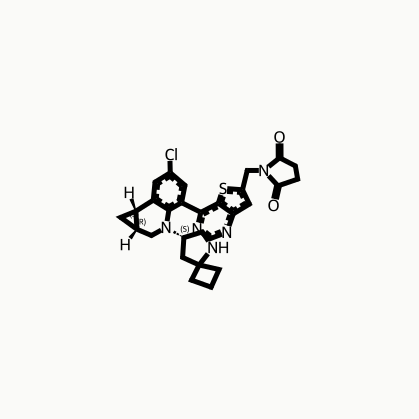 O=C1CCC(=O)N1Cc1cc2ncnc(-c3cc(Cl)cc4c3N([C@@H]3CNC5(CCC5)C3)C[C@@H]3C[C@H]43)c2s1